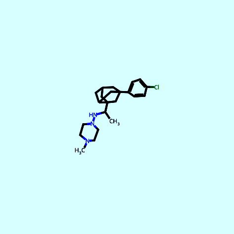 CC(NN1CCN(C)CC1)C12CC3CC1CC(c1ccc(Cl)cc1)(C3)C2